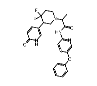 CC(C(=O)Nc1cnc(Oc2ccccc2)cn1)N1CCC(F)(F)C(c2ccc(=O)[nH]c2)C1